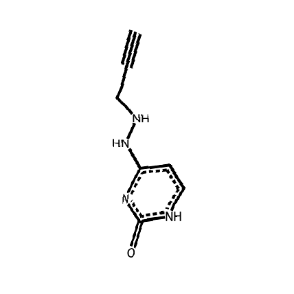 C#CCNNc1cc[nH]c(=O)n1